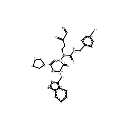 N=CC(=O)CC[C@H](NC(=O)[C@H](Cc1c[nH]c2ccccc12)NC(=O)[C@@H]1CCOC1)C(=O)NCc1ccc(F)cc1